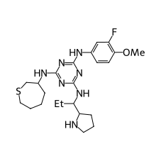 CCC(Nc1nc(Nc2ccc(OC)c(F)c2)nc(NC2CCCCSC2)n1)C1CCCN1